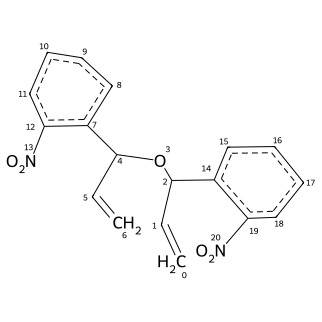 C=CC(OC(C=C)c1ccccc1[N+](=O)[O-])c1ccccc1[N+](=O)[O-]